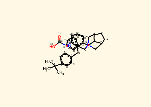 CC(C)(C)c1ccc(Cc2c(CC3C4CCC3CN(Cc3ccccc3)C4)cccc2NC(=O)O)cc1